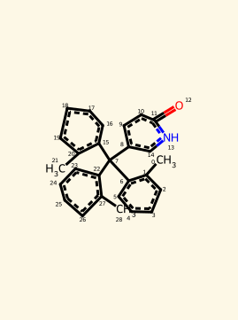 Cc1ccccc1C(c1ccc(=O)[nH]c1)(c1ccccc1C)c1ccccc1C